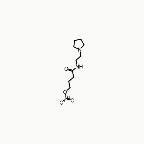 O=C(CCCO[N+](=O)[O-])NCCN1CCCC1